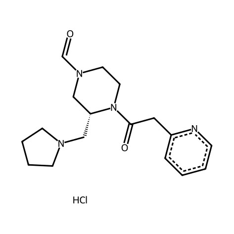 Cl.O=CN1CCN(C(=O)Cc2ccccn2)[C@H](CN2CCCC2)C1